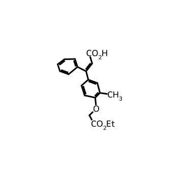 CCOC(=O)COc1ccc(C(=CC(=O)O)c2ccccc2)cc1C